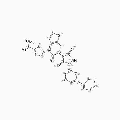 COC(=O)c1csc(NC(=O)[C@H](Cc2cccs2)N2C(=O)N[C@H](C3=COC=C(C4=CC=CCC4)O3)C2=O)n1